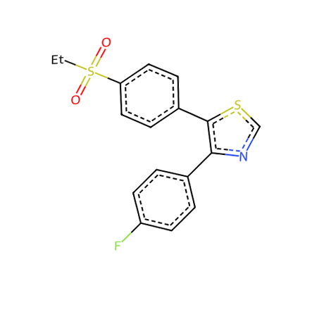 CCS(=O)(=O)c1ccc(-c2scnc2-c2ccc(F)cc2)cc1